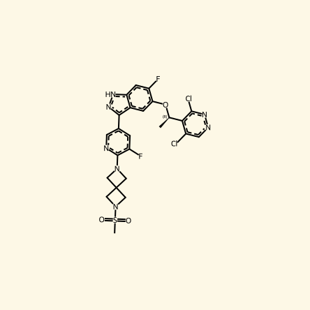 C[C@@H](Oc1cc2c(-c3cnc(N4CC5(C4)CN(S(C)(=O)=O)C5)c(F)c3)n[nH]c2cc1F)c1c(Cl)cnnc1Cl